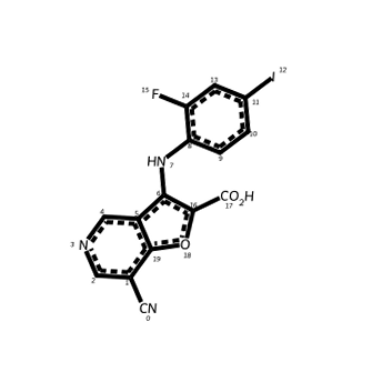 N#Cc1cncc2c(Nc3ccc(I)cc3F)c(C(=O)O)oc12